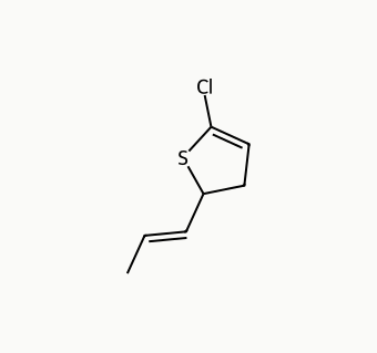 C/C=C/C1CC=C(Cl)S1